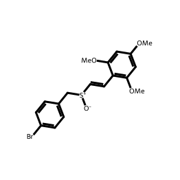 COc1cc(OC)c(C=C[S+]([O-])Cc2ccc(Br)cc2)c(OC)c1